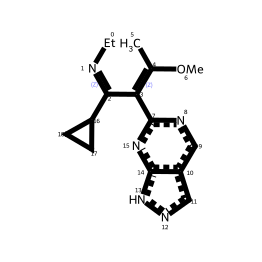 CC/N=C(\C(=C(/C)OC)c1ncc2cn[nH]c2n1)C1CC1